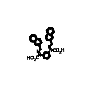 O=C(O)N(N=Cc1ccc2ccccc2c1)c1cccc(N(N=Cc2ccc3ccccc3c2)C(=O)O)c1